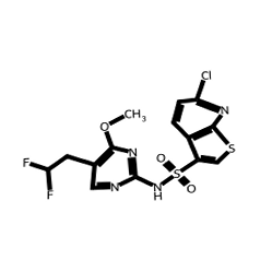 COc1nc(NS(=O)(=O)c2csc3nc(Cl)ccc23)ncc1CC(F)F